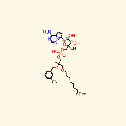 CCCCCCCCCCCCCCCCCOCC(C)(COP(=O)(O)OC[C@@]1(C#N)O[C@@H](c2ccc3c(N)ncnn23)[C@H](O)[C@@H]1O)OCc1cc(F)cc(C#N)c1